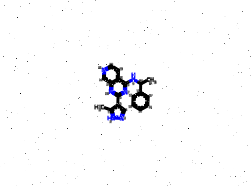 Cc1[nH]ncc1-c1nc(NC(C)c2ccccc2)c2ccncc2n1